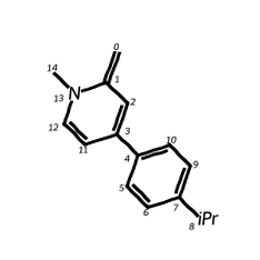 C=C1C=C(c2ccc(C(C)C)cc2)C=CN1C